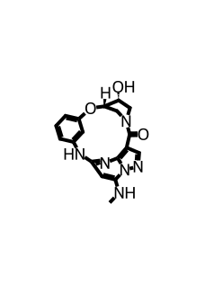 CNc1cc2nc3c(cnn13)C(=O)N1C[C@@H](O)[C@H](C1)Oc1cccc(c1)N2